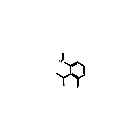 CNc1cccc(F)c1C(C)C